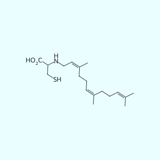 CC(C)=CCCC(C)=CCCC(C)=CCNC(CS)C(=O)O